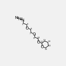 [N-]=[N+]=NCCOCCOCCOC1CCCCO1